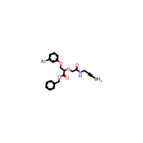 BC#CCNC(=O)COC(COc1cccc(C(C)=O)c1)C(=O)OCc1ccccc1